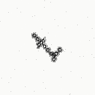 Cc1ccc2c(-c3ccc(-c4ccc(-c5ccc6c(c5)c5cc(-c7ccccc7)ccc5n6-c5ccccc5)cc4)cc3)c3cc(C)ccc3c(-c3ccc(-c4ccccc4)cc3)c2c1